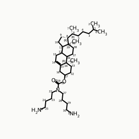 CC(C)CCC[C@@H](C)[C@H]1CCC2C3CC=C4CC(OC(=O)N(CCCCN)CCCCN)CC[C@]4(C)C3CC[C@@]21C